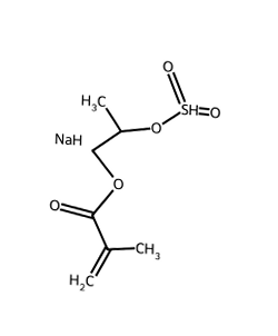 C=C(C)C(=O)OCC(C)O[SH](=O)=O.[NaH]